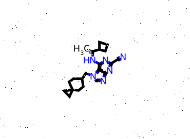 C[C@@H](Nc1nc(C#N)nc2ncn(CC3CCC4(CC3)CC4)c12)C1CCC1